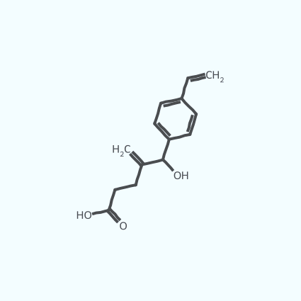 C=Cc1ccc(C(O)C(=C)CCC(=O)O)cc1